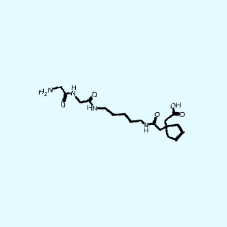 NCC(=O)NCC(=O)NCCCCCNC(=O)CC1(CC(=O)O)CCCC1